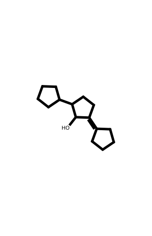 OC1C(=C2CCCC2)CCC1C1CCCC1